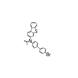 C=C(C)N(c1ccc(-c2ccc(Br)cc2)cc1)c1ccc2c(c1)sc1ccccc12